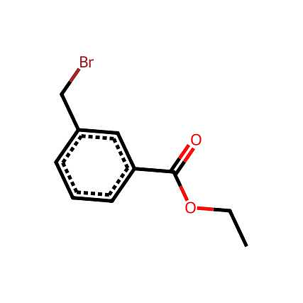 CCOC(=O)c1cccc(CBr)c1